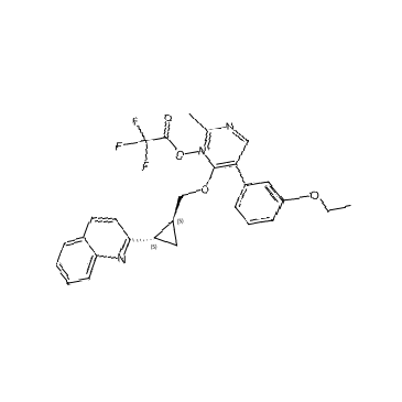 CCOc1cccc(-c2cnc(C)[n+](OC(=O)C(F)(F)F)c2OC[C@H]2C[C@@H]2c2ccc3ccccc3n2)c1